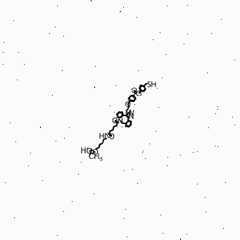 CP(O)OCCCCCCNC(=O)CCCCC(=O)N1Cc2ccccc2-c2nnn(CCOc3ccc(C(=O)Oc4ccc(CS)cc4)cc3)c2-c2ccccc21